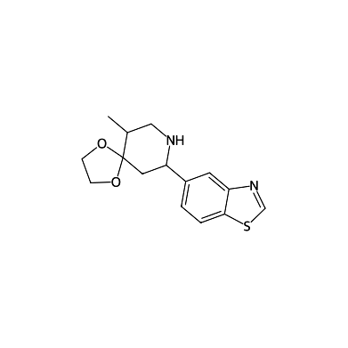 CC1CNC(c2ccc3scnc3c2)CC12OCCO2